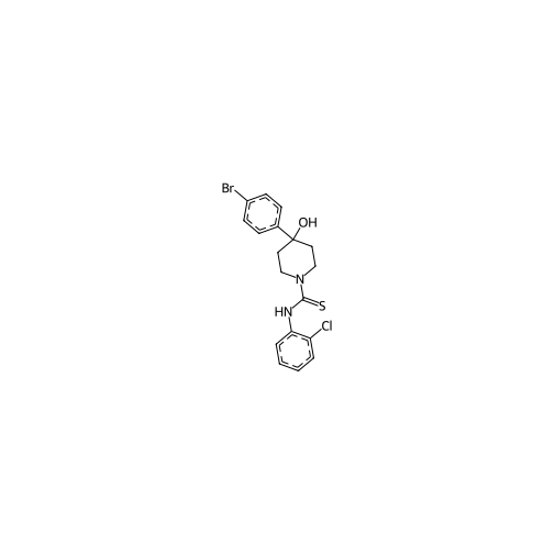 OC1(c2ccc(Br)cc2)CCN(C(=S)Nc2ccccc2Cl)CC1